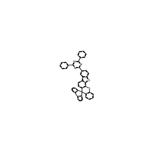 c1ccc(-c2nc(-c3ccccc3)nc(-c3ccc4oc5c6c(ccc5c4c3)C3(c4ccccc4S6)c4ccccc4-c4ccccc43)n2)cc1